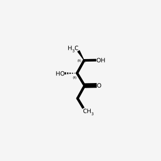 CCC(=O)[C@H](O)[C@@H](C)O